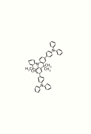 CC1(C)C2=CC(c3ccc(N(c4ccccc4)c4ccccc4)cc3)CC3=C2N(c2ccc(-c4ccc(N(c5ccccc5)c5ccccc5)cc4)cc21)c1ccccc1C3(C)C